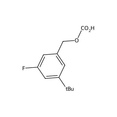 CC(C)(C)c1cc(F)cc(COC(=O)O)c1